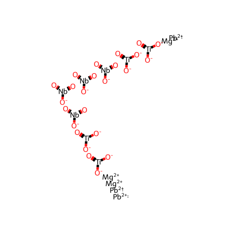 [Mg+2].[Mg+2].[Mg+2].[O]=[Nb](=[O])[O-].[O]=[Nb](=[O])[O-].[O]=[Nb](=[O])[O-].[O]=[Nb](=[O])[O-].[O]=[Ti]([O-])[O-].[O]=[Ti]([O-])[O-].[O]=[Ti]([O-])[O-].[O]=[Ti]([O-])[O-].[Pb+2].[Pb+2].[Pb+2]